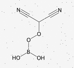 N#CC(C#N)OOB(O)O